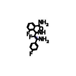 N=C(/C(F)=C(\N)c1ccc(F)cc1)c1c(F)cccc1C(N)=O